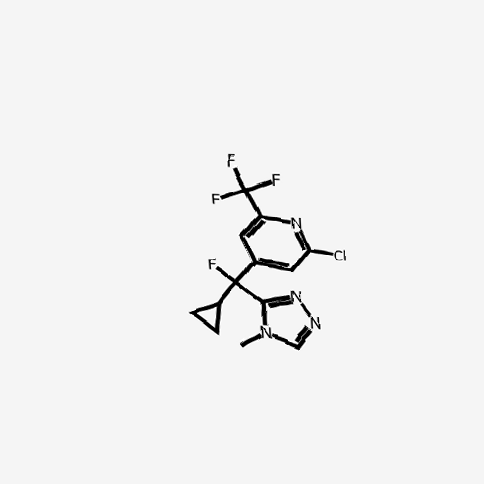 Cn1cnnc1C(F)(c1cc(Cl)nc(C(F)(F)F)c1)C1CC1